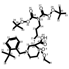 CCOP1(=O)CCN(Cc2ccccc2C(C)(C)C)C[C@@]1(CCCCN(C(=O)OOC(C)(C)C)C(=O)OOC(C)(C)C)C(=O)O